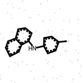 [CH2]c1ccc(Nc2cccc3ccccc23)cc1